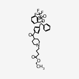 CCOC(=O)CCCN1CCC(C(=O)c2ccc(S(OS(=O)(=O)C(F)(F)F)(c3ccccc3)c3ccccc3)cc2)CC1